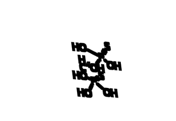 C.OP(O)(O)=S.OP(O)(O)=S